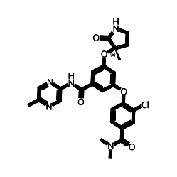 Cc1cnc(NC(=O)c2cc(Oc3ccc(C(=O)N(C)C)cc3Cl)cc(O[C@@]3(C)CCNC3=O)c2)cn1